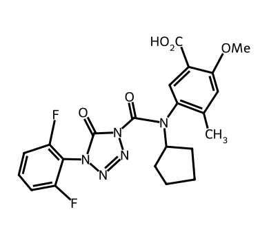 COc1cc(C)c(N(C(=O)n2nnn(-c3c(F)cccc3F)c2=O)C2CCCC2)cc1C(=O)O